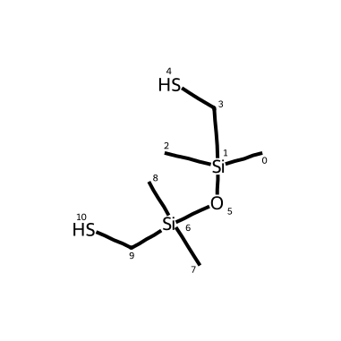 C[Si](C)(CS)O[Si](C)(C)CS